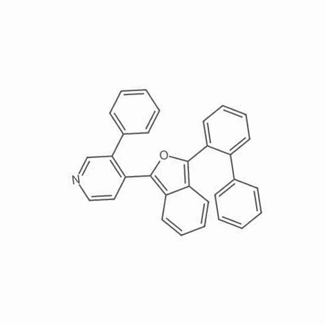 c1ccc(-c2ccccc2-c2oc(-c3ccncc3-c3ccccc3)c3ccccc23)cc1